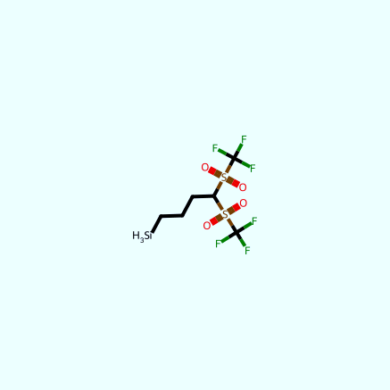 O=S(=O)(C(CCC[SiH3])S(=O)(=O)C(F)(F)F)C(F)(F)F